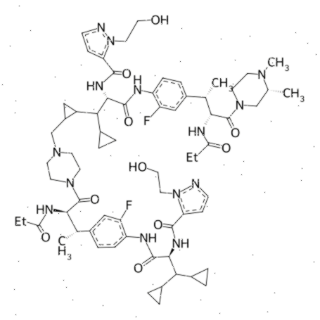 CCC(=O)N[C@@H](C(=O)N1CCN(CC2CC2C(C2CC2)[C@H](NC(=O)c2ccnn2CCO)C(=O)Nc2ccc([C@H](C)[C@@H](NC(=O)CC)C(=O)N3CCN(C)[C@H](C)C3)cc2F)CC1)[C@@H](C)c1ccc(NC(=O)[C@@H](NC(=O)c2ccnn2CCO)C(C2CC2)C2CC2)c(F)c1